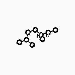 c1ccc(-c2ccc(-c3cc(-c4cccc(-c5cccc(-c6cc(-c7ccccc7)cc(-c7ccccc7)c6)c5)c4)nc4ccccc34)nc2)cc1